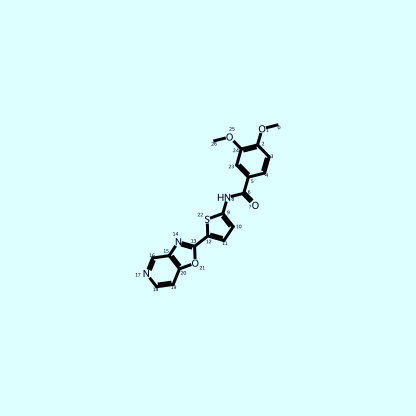 COc1ccc(C(=O)Nc2ccc(-c3nc4cnccc4o3)s2)cc1OC